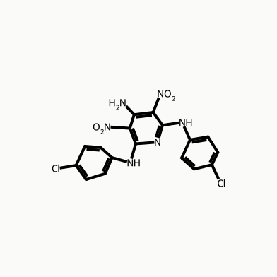 Nc1c([N+](=O)[O-])c(Nc2ccc(Cl)cc2)nc(Nc2ccc(Cl)cc2)c1[N+](=O)[O-]